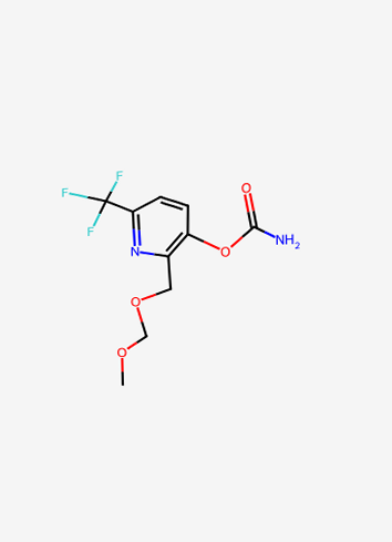 COCOCc1nc(C(F)(F)F)ccc1OC(N)=O